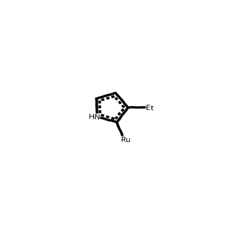 CCc1cc[nH][c]1[Ru]